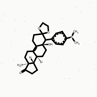 CN(C)c1ccc(C2C3(CCC4=C5CC[C@]6(C)C(=O)CC[C@H]6[C@@H]5CC[C@]42O)OCCO3)cc1